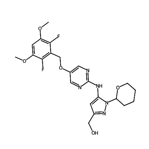 COc1cc(OC)c(F)c(COc2cnc(Nc3cc(CO)nn3C3CCCCO3)nc2)c1F